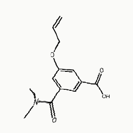 C=CCOc1cc(C(=O)O)cc(C(=O)N(C)C)c1